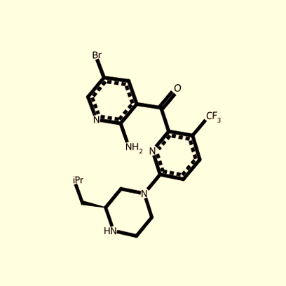 CC(C)C[C@H]1CN(c2ccc(C(F)(F)F)c(C(=O)c3cc(Br)cnc3N)n2)CCN1